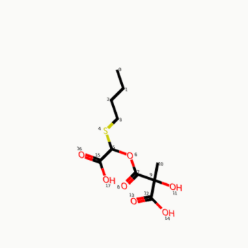 CCCCSC(OC(=O)C(C)(O)C(=O)O)C(=O)O